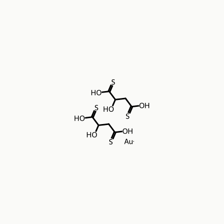 OC(=S)CC(O)C(O)=S.OC(=S)CC(O)C(O)=S.[Au]